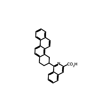 O=C(O)c1cc2ccccc2c(C2CCc3ccc4c(ccc5ccccc54)c3C2)n1